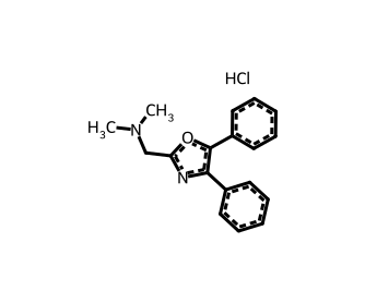 CN(C)Cc1nc(-c2ccccc2)c(-c2ccccc2)o1.Cl